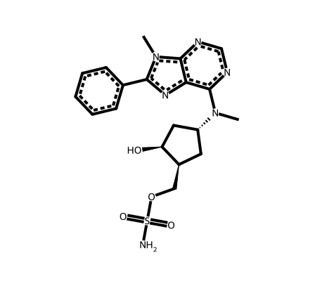 CN(c1ncnc2c1nc(-c1ccccc1)n2C)[C@@H]1C[C@@H](COS(N)(=O)=O)[C@@H](O)C1